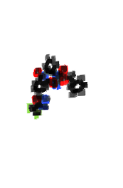 O=C(N[C@@H]1CCCC[C@H]1N1C(=O)c2ccc(-c3nnc(C(F)F)o3)cc2C1=O)OCc1ccccc1